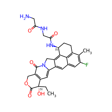 CC[C@@]1(O)C(=O)OCc2c1cc1n(c2=O)Cc2c-1cc1cc(F)c(C)c3c1c2[C@@H](NC(=O)CNC(=O)CN)CC3